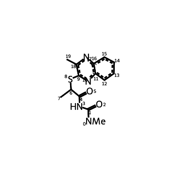 CNC(=O)NC(=O)C(C)Sc1nc2ccccc2nc1C